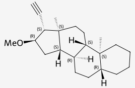 C#C[C@H]1[C@H](OC)C[C@H]2[C@@H]3CC[C@H]4CCCC[C@]4(C)[C@H]3CC[C@]12C